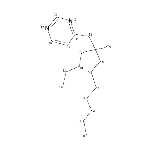 CCCCCCCC(C)(CCCC)Cc1ccncn1